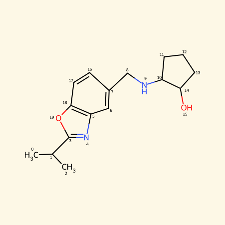 CC(C)c1nc2cc(CNC3CCCC3O)ccc2o1